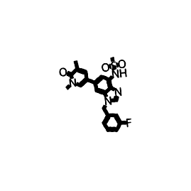 Cc1cc(-c2cc(NS(C)(=O)=O)c3ncn(Cc4cccc(F)c4)c3c2)cn(C)c1=O